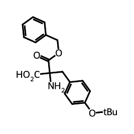 CC(C)(C)Oc1ccc(CC(N)(C(=O)O)C(=O)OCc2ccccc2)cc1